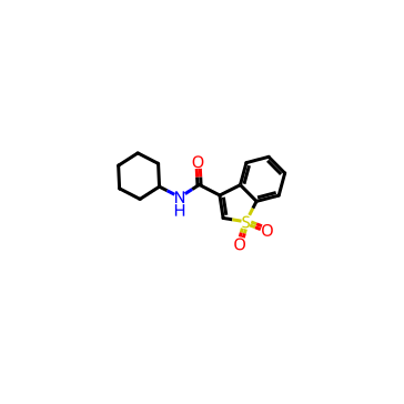 O=C(NC1CCCCC1)C1=CS(=O)(=O)c2ccccc21